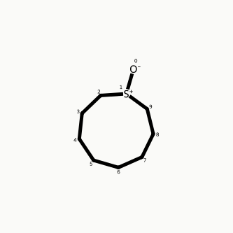 [O-][S+]1CCCCCCCC1